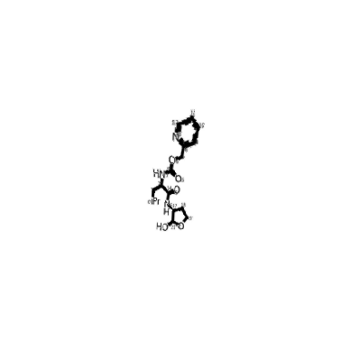 CC(C)CC(NC(=O)OCc1ccccn1)C(=O)N[C@H]1CCOC1O